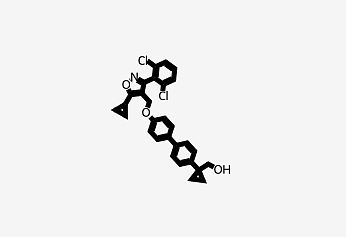 OCC1(c2ccc(-c3ccc(OCc4c(-c5c(Cl)cccc5Cl)noc4C4CC4)cc3)cc2)CC1